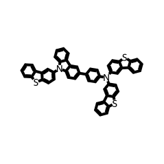 c1ccc2c(c1)sc1ccc(N(c3ccc(-c4ccc5c(c4)c4ccccc4n5-c4ccc5sc6ccccc6c5c4)cc3)c3ccc4sc5ccccc5c4c3)cc12